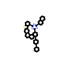 c1ccc(-c2ccc(-c3ccc(-c4nc(-c5ccc6ccccc6c5)nc(-c5cccc6sc7cc8ccc9ccccc9c8cc7c56)n4)cc3)cc2)cc1